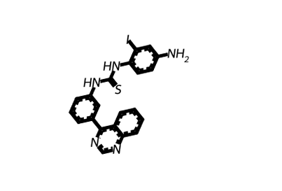 Nc1ccc(NC(=S)Nc2cccc(-c3ncnc4ccccc34)c2)c(I)c1